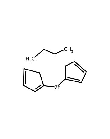 C1=CC[C]([Zr][C]2=CC=CC2)=C1.CCCC